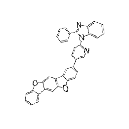 c1ccc(-c2nc3ccccc3n2-c2ccc(-c3ccc4oc5cc6c(cc5c4c3)oc3ccccc36)cn2)cc1